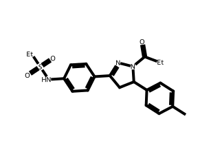 CCC(=O)N1N=C(c2ccc(NS(=O)(=O)CC)cc2)CC1c1ccc(C)cc1